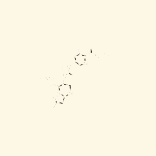 CO[C@@H](C)c1c(NC(=O)Nc2cnc(C(=O)NOC(C)C)c(Cl)c2)cnc2cc(Cl)nn12